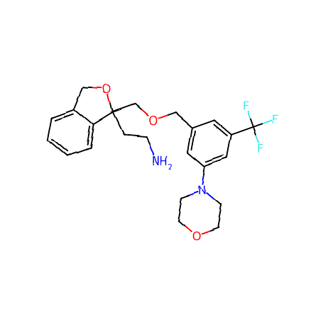 NCCC1(COCc2cc(N3CCOCC3)cc(C(F)(F)F)c2)OCc2ccccc21